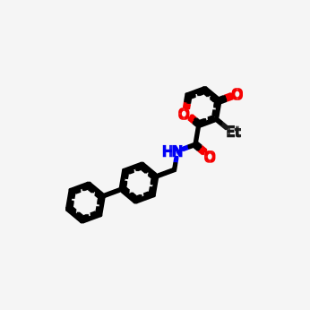 CCc1c(C(=O)NCc2ccc(-c3ccccc3)cc2)occc1=O